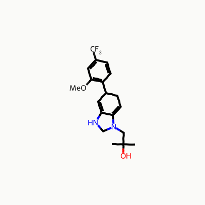 COc1cc(C(F)(F)F)ccc1C1C=C2NCN(CC(C)(C)O)C2=CC1